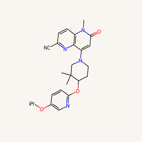 CC(C)Oc1ccc(OC2CCN(c3cc(=O)n(C)c4ccc(C#N)nc34)CC2(C)C)nc1